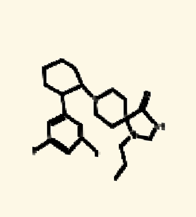 CCCN1CNC(=O)C12CCN(C1CCCCC1c1cc(F)cc(F)c1)CC2